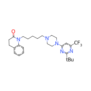 CC(C)(C)c1nc(N2CCN(CCCCCN3C(=O)CCc4ccccc43)CC2)cc(C(F)(F)F)n1